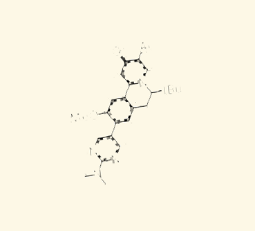 COc1cc2c(cc1-c1cnc(N(C)C)nc1)CC(C(C)(C)C)n1cc(C(C)=O)c(=O)cc1-2